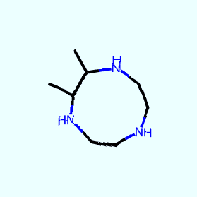 CC1NCCNCCNC1C